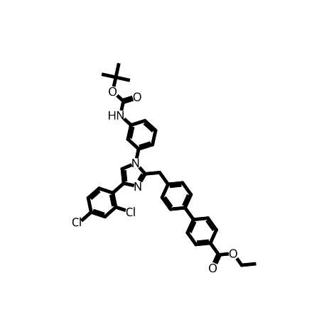 CCOC(=O)c1ccc(-c2ccc(Cc3nc(-c4ccc(Cl)cc4Cl)cn3-c3cccc(NC(=O)OC(C)(C)C)c3)cc2)cc1